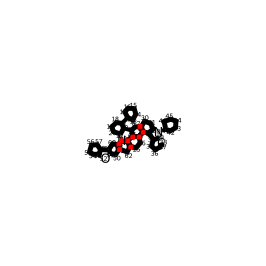 c1ccc(-c2ccccc2-c2c(-c3ccccc3)cccc2N(c2cccc(-c3cccc4c3c3ccccc3n4-c3ccccc3)c2)c2ccc3oc4ccccc4c3c2)cc1